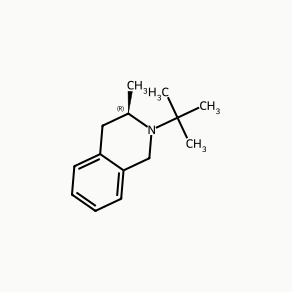 C[C@@H]1Cc2ccccc2CN1C(C)(C)C